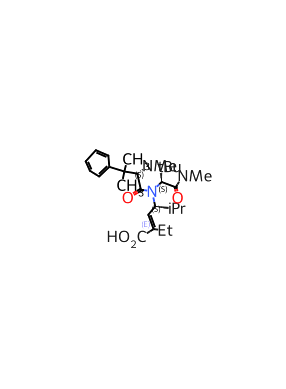 CC/C(=C\[C@H](C(C)C)N(C(=O)[C@@H](NC)C(C)(C)c1ccccc1)[C@H](C(=O)NC)C(C)(C)C)C(=O)O